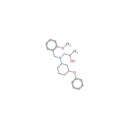 OC(CN(Cc1ccccc1OC(F)(F)F)C1CCCC(Oc2ccccc2)C1)C(F)(F)F